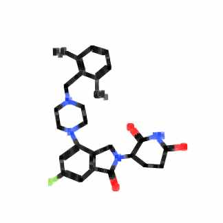 Cc1cccc(C)c1CN1CCN(c2cc(F)cc3c2CN(C2CCC(=O)NC2=O)C3=O)CC1